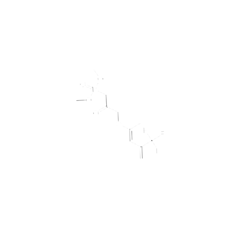 C=C(/C=C(\C)OCC(=O)CP(=O)(OC)OC)C(F)(F)F